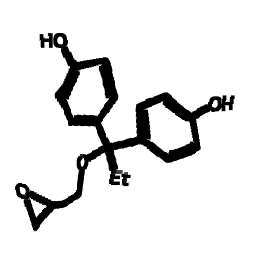 CCC(OCC1CO1)(c1ccc(O)cc1)c1ccc(O)cc1